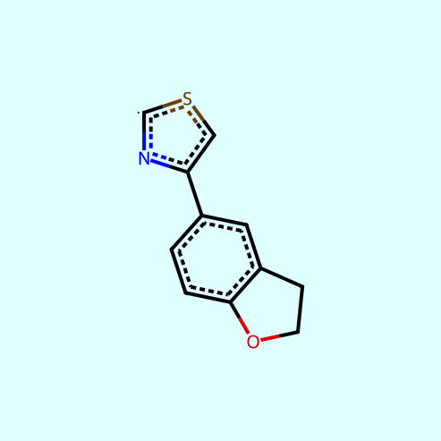 [c]1nc(-c2ccc3c(c2)CCO3)cs1